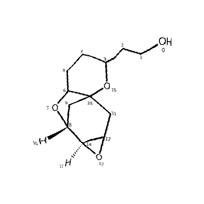 OCCC1CCC2O[C@@H]3CC2(CC2O[C@H]23)O1